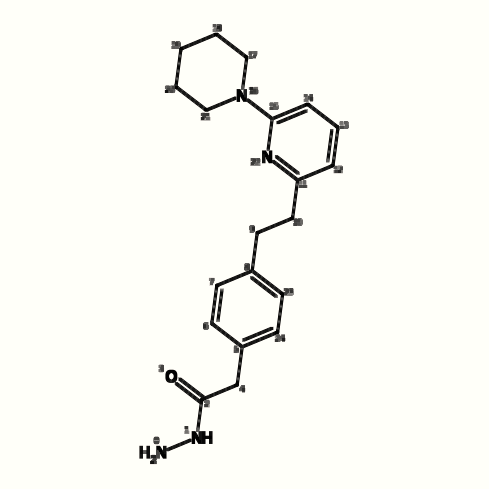 NNC(=O)Cc1ccc(CCc2cccc(N3CCCCC3)n2)cc1